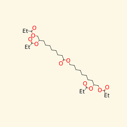 CCC(=O)OCC(CCCCCCCCOC(=O)CCCCCCCC(COC(=O)CC)OC(=O)CC)OC(=O)CC